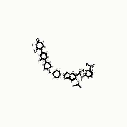 CC(C)Oc1cc2nc([C@H]3CC[C@H](CN4CCC(c5ccc(C6CCC(=O)NC6=O)cc5F)CC4)CC3)cn2cc1C(O)Nc1cccc(C(F)F)n1